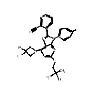 CC(C)(O)COc1nc(N2CC(C)(O)C2)c2nc(-c3cccnc3C#N)n(-c3ccc(Cl)cc3)c2n1